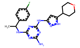 CC(Nc1nc(N)nc(Nc2cc(C3CCOCC3)[nH]n2)n1)c1ccc(F)cc1